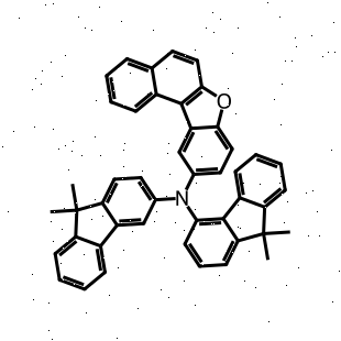 CC1(C)c2ccccc2-c2cc(N(c3ccc4oc5ccc6ccccc6c5c4c3)c3cccc4c3-c3ccccc3C4(C)C)ccc21